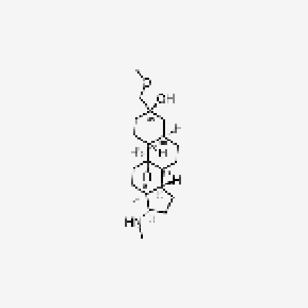 CN[C@H]1CC[C@H]2[C@@H]3CC[C@@H]4C[C@@](O)(COC)CC[C@@H]4[C@H]3CC[C@]12C